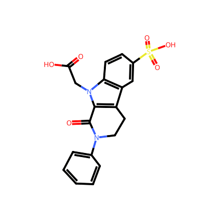 O=C(O)Cn1c2c(c3cc(S(=O)(=O)O)ccc31)CCN(c1ccccc1)C2=O